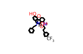 CN(C(=O)CCc1ccc(C(F)(F)F)cc1)C1CCC2Oc3c(O)ccc4c3[C@@]23CCN(CCc2ccccc2)[C@H](C4)[C@]13O